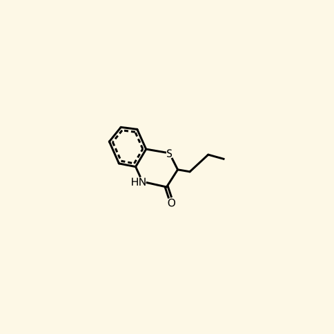 CCCC1Sc2ccccc2NC1=O